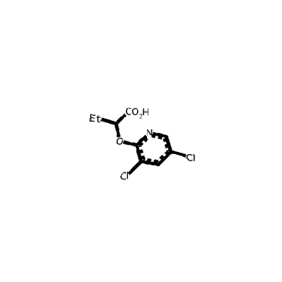 CCC(Oc1ncc(Cl)cc1Cl)C(=O)O